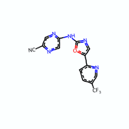 N#Cc1cnc(Nc2ncc(-c3ccc(C(F)(F)F)cn3)o2)cn1